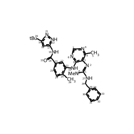 CN/C(=N\c1c(C)ncnc1Nc1cc(C(=O)Nc2cc(C(C)(C)C)n[nH]2)ccc1C)NCc1ccccc1